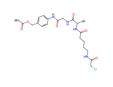 CC(C)C(NC(=O)CCCCNC(=O)CCl)C(=O)NCC(=O)Nc1ccc(COC(=O)C(C)(C)C)cc1